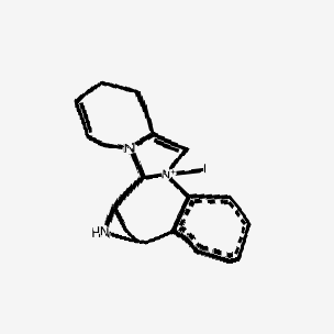 I[N+]12C=C3CCC=CN3C1C1NC1c1ccccc12